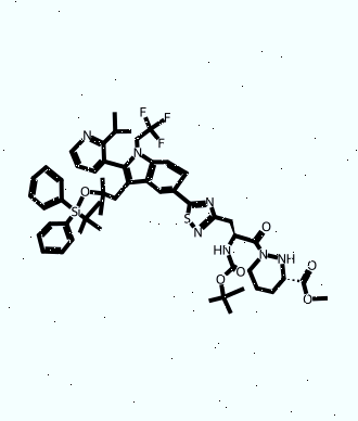 COC(=O)[C@@H]1CCCN(C(=O)[C@H](Cc2nsc(-c3ccc4c(c3)c(CC(C)(C)O[Si](c3ccccc3)(c3ccccc3)C(C)(C)C)c(-c3cccnc3C(C)C)n4CC(F)(F)F)n2)NC(=O)OC(C)(C)C)N1